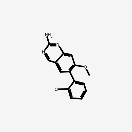 COc1cc2nc(N)ncc2cc1-c1ccccc1Cl